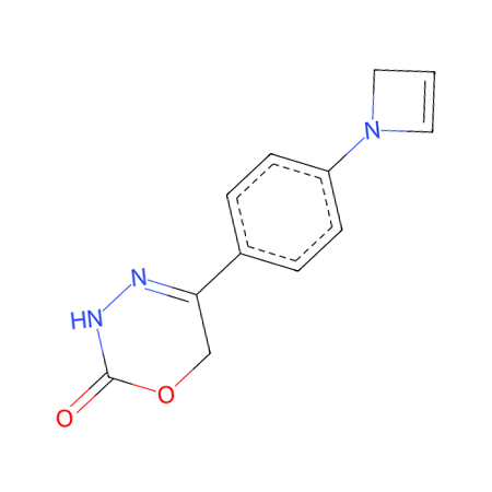 O=C1NN=C(c2ccc(N3C=CC3)cc2)CO1